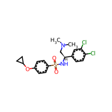 CN(C)C[C@H](NS(=O)(=O)c1ccc(OC2CC2)cc1)c1ccc(Cl)c(Cl)c1